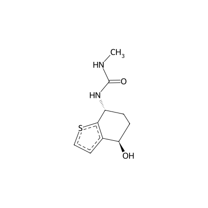 CNC(=O)N[C@@H]1CC[C@@H](O)c2ccsc21